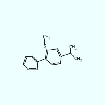 CSc1cc(C(C)C)ccc1-c1ccccc1